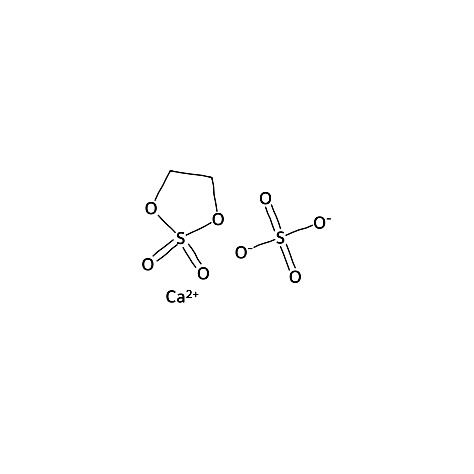 O=S(=O)([O-])[O-].O=S1(=O)OCCO1.[Ca+2]